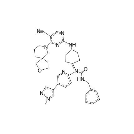 Cn1cc(-c2ccc([N+](C(=O)NCc3ccccc3)=C3CCC(Nc4ncc(C#N)c(N5CCCC6(CCOC6)C5)n4)CC3)nc2)cn1